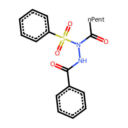 CCCCCC(=O)N(NC(=O)c1ccccc1)S(=O)(=O)c1ccccc1